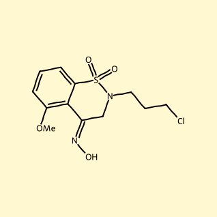 COc1cccc2c1/C(=N/O)CN(CCCCl)S2(=O)=O